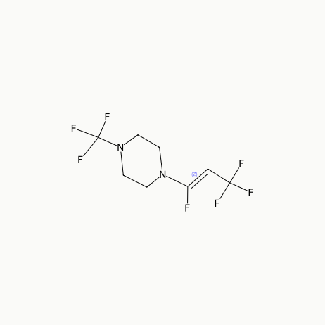 F/C(=C\C(F)(F)F)N1CCN(C(F)(F)F)CC1